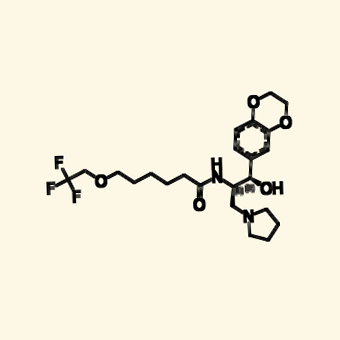 O=C(CCCCCOCC(F)(F)F)N[C@H](CN1CCCC1)[C@H](O)c1ccc2c(c1)OCCO2